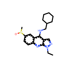 CCn1ncc2c(NCC3CCCCC3)c3cc([S+](C)[O-])ccc3nc21